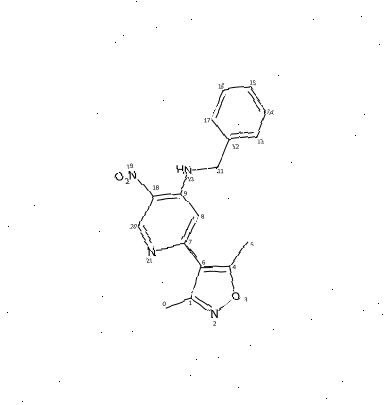 Cc1noc(C)c1-c1cc(NCc2ccccc2)c([N+](=O)[O-])cn1